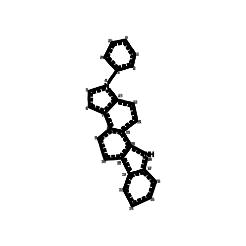 c1ccc(-n2ccc3c4ccc5c6ccccc6[nH]c5c4ccc32)cc1